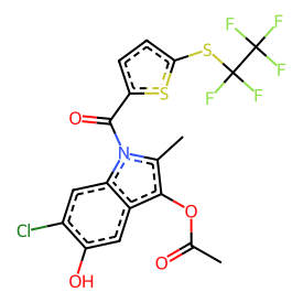 CC(=O)Oc1c(C)n(C(=O)c2ccc(SC(F)(F)C(F)(F)F)s2)c2cc(Cl)c(O)cc12